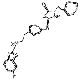 O=C1S/C(=N\c2ccc(CCNc3nc4ccc(F)cc4s3)cc2)N[C@H]1Cc1ccccc1